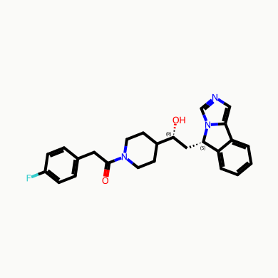 O=C(Cc1ccc(F)cc1)N1CCC([C@H](O)C[C@H]2c3ccccc3-c3cncn32)CC1